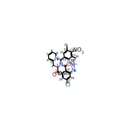 COC(=O)[C@@H](Cc1ccccn1)N(Cc1cc(C)c([N+](=O)[O-])c(C)c1)C(=O)c1ccc(Cl)cc1N=[N+]=[N-]